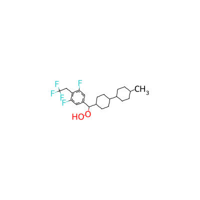 CC1CCC(C2CCC(C(OO)c3cc(F)c(CC(F)(F)F)c(F)c3)CC2)CC1